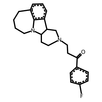 O=C(CCN1CCC2C(C1)c1cccc3c1N2CCCC3)c1ccc(F)cc1